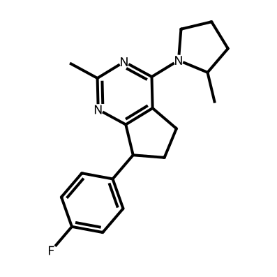 Cc1nc2c(c(N3CCCC3C)n1)CCC2c1ccc(F)cc1